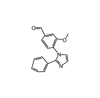 COc1cc(C=O)ccc1-n1ccnc1-c1ccccc1